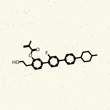 C=C(C)C(=O)Oc1cc(-c2ccc(-c3ccc(C4CCC(C)CC4)cc3)cc2F)ccc1CCO